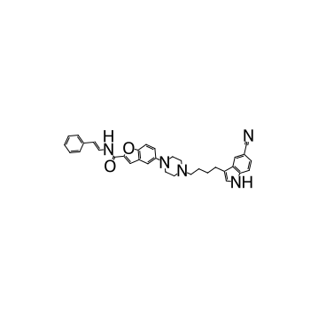 N#Cc1ccc2[nH]cc(CCCCN3CCN(c4ccc5oc(C(=O)NC=Cc6ccccc6)cc5c4)CC3)c2c1